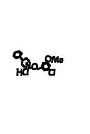 COc1cc(Cl)cc(COCN2CCC(c3ccccc3)CC2)c1.Cl